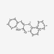 O=C(O)C(=Cc1ccccc1)Oc1cccc2ccccc12